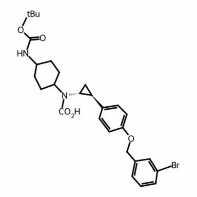 CC(C)(C)OC(=O)NC1CCC(N(C(=O)O)[C@@H]2C[C@H]2c2ccc(OCc3cccc(Br)c3)cc2)CC1